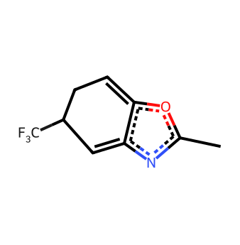 Cc1nc2c(o1)=CCC(C(F)(F)F)C=2